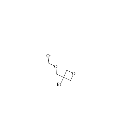 CCC1(COC[O])COC1